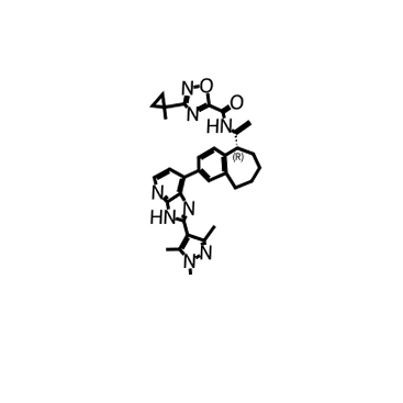 C=C(NC(=O)c1nc(C2(C)CC2)no1)[C@@H]1CCCCc2cc(-c3ccnc4[nH]c(-c5c(C)nn(C)c5C)nc34)ccc21